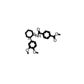 COC(=O)c1ccc(C(=O)N[C@@H]2CCCC[C@@H]2c2ccc(OC)c(OC)c2)cc1